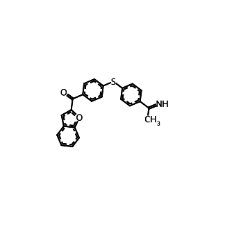 CC(=N)c1ccc(Sc2ccc(C(=O)c3cc4ccccc4o3)cc2)cc1